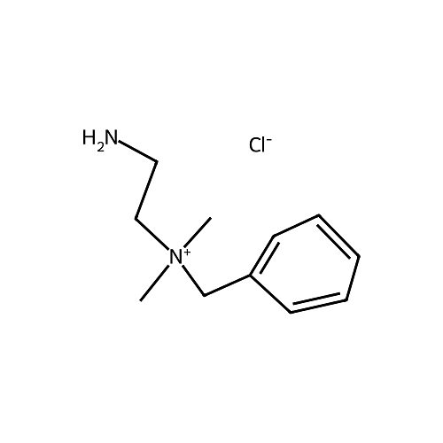 C[N+](C)(CCN)Cc1ccccc1.[Cl-]